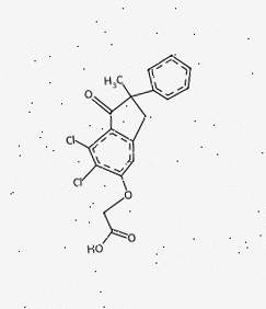 CC1(c2ccccc2)Cc2cc(OCC(=O)O)c(Cl)c(Cl)c2C1=O